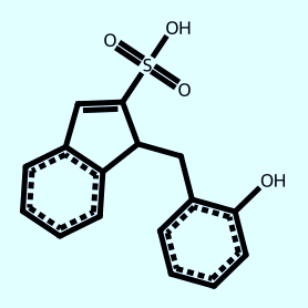 O=S(=O)(O)C1=Cc2ccccc2C1Cc1ccccc1O